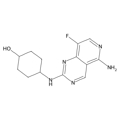 Nc1ncc(F)c2nc(NC3CCC(O)CC3)ncc12